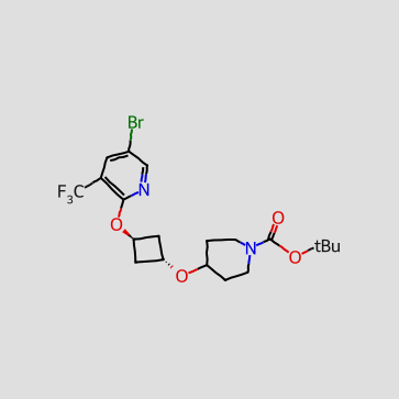 CC(C)(C)OC(=O)N1CCC(O[C@H]2C[C@H](Oc3ncc(Br)cc3C(F)(F)F)C2)CC1